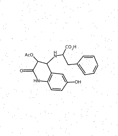 CC(=O)OC1C(=O)Nc2ccc(O)cc2C1NC(Cc1ccccc1)C(=O)O